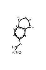 O=[C]NCc1ccc2c(c1)OCCO2